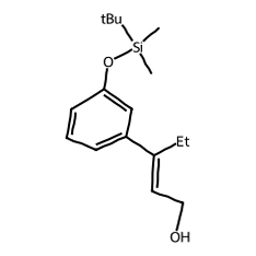 CC/C(=C\CO)c1cccc(O[Si](C)(C)C(C)(C)C)c1